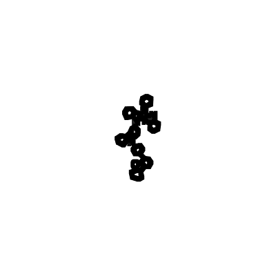 c1ccc(-n2c3c4ccccc4n(-c4ccc5c(c4)c4ccccc4n5-c4ccc(-c5cccc6c5oc5ccccc56)cc4)c3n3c4ccccc4nc23)cc1